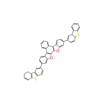 C1=Cc2sc3ccc(-c4ccc5c(c4)oc4c6oc7cc(C8=CC9c%10ccccc%10SC9C=C8)ccc7c6c6ccccc6c54)cc3c2CC1